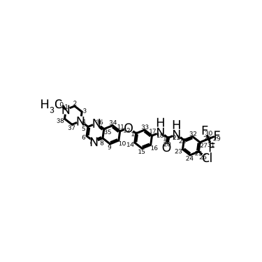 CN1CCN(c2cnc3ccc(Oc4cccc(NC(=O)Nc5ccc(Cl)c(C(F)(F)F)c5)c4)cc3n2)CC1